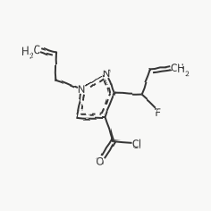 C=CCn1cc(C(=O)Cl)c(C(F)C=C)n1